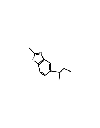 CCC(C)c1ccc2sc(C)nc2c1